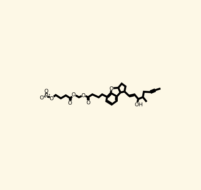 CC#CCC(C)C(O)/C=C/C1CCC2Oc3c(CCCC(=O)OCOC(=O)CCCO[N+](=O)[O-])cccc3C12